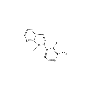 Cc1c(-c2ncnc(N)c2F)ccc2cccnc12